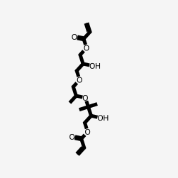 C=CC(=O)OCC(O)COCC(C)OC(C)(C)C(O)COC(=O)C=C